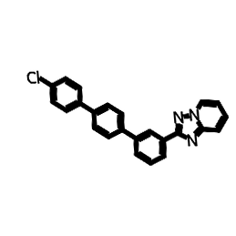 Clc1ccc(-c2ccc(-c3cccc(-c4nc5ccccn5n4)c3)cc2)cc1